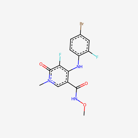 CONC(=O)c1cn(C)c(=O)c(F)c1Nc1ccc(Br)cc1F